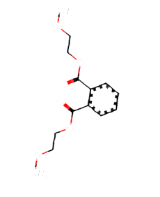 COCCOC(=O)c1ccccc1C(=O)OCCOC